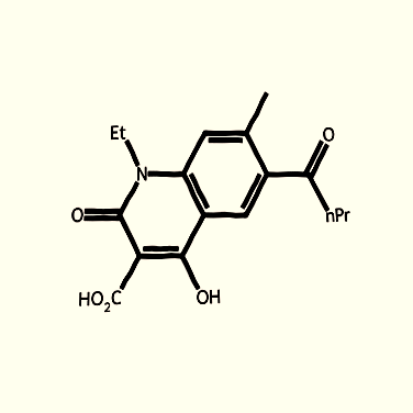 CCCC(=O)c1cc2c(O)c(C(=O)O)c(=O)n(CC)c2cc1C